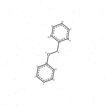 [c]1cccc(OCc2ncccn2)c1